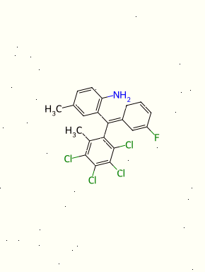 Cc1ccc(N)c(/C(=C2/C=C(F)C=CC2)c2c(C)c(Cl)c(Cl)c(Cl)c2Cl)c1